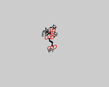 CCC(OC(=O)C=CC(=O)OC(C)C)[Si](O[Si](C)(C)C)(O[Si](C)(C)C)O[Si](C)(C)C